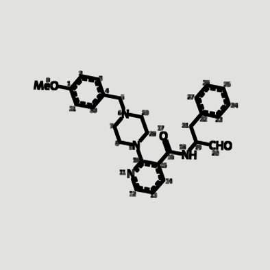 COc1ccc(CN2CCN(c3ncccc3C(=O)NC(C=O)Cc3ccccc3)CC2)cc1